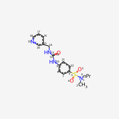 CCCN(C)S(=O)(=O)c1ccc(NC(=O)NCc2cccnc2)cc1